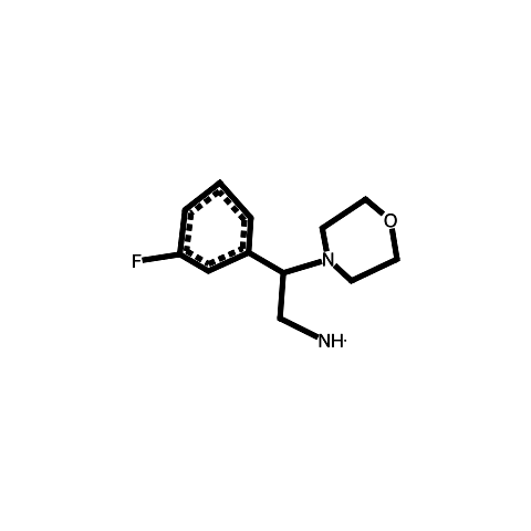 [NH]CC(c1cccc(F)c1)N1CCOCC1